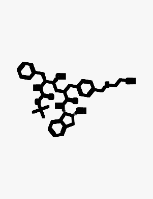 CC(C)(C)OC(=O)N[C@@H](Cc1ccccc1)[C@@H](O)C[C@@H](Cc1ccc(CSCCO)cc1)C(=O)N[C@H]1c2ccccc2C[C@H]1O